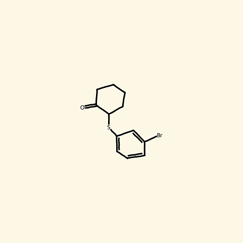 O=C1CCCCC1Sc1cccc(Br)c1